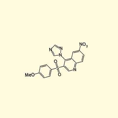 COc1ccc(S(=O)(=O)c2cnc3ccc([N+](=O)[O-])cc3c2-n2cncn2)cc1